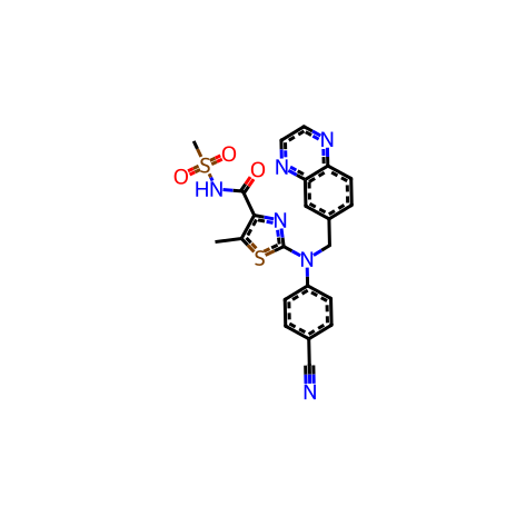 Cc1sc(N(Cc2ccc3nccnc3c2)c2ccc(C#N)cc2)nc1C(=O)NS(C)(=O)=O